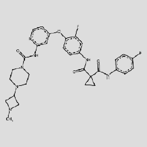 CN1CC(N2CCN(C(=O)Nc3cc(Oc4ccc(NC(=O)C5(C(=O)Nc6ccc(F)cc6)CC5)cc4F)ccn3)CC2)C1